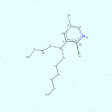 CCCCCCC(CCCC)c1cc(C)cnc1F